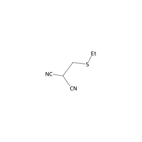 CCSCC(C#N)C#N